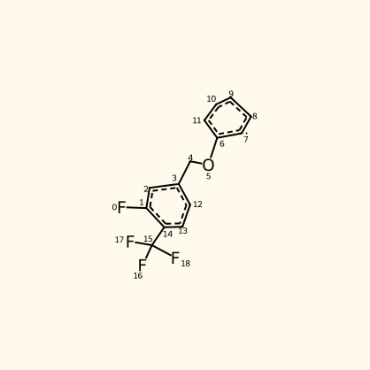 Fc1cc(COc2[c]cccc2)ccc1C(F)(F)F